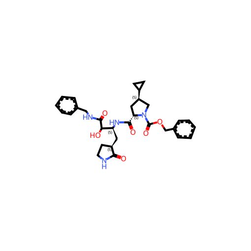 O=C(NCc1ccccc1)C(O)[C@H](C[C@@H]1CCNC1=O)NC(=O)[C@@H]1C[C@@H](C2CC2)CN1C(=O)OCc1ccccc1